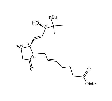 CCCCC(C)(C)[C@H](O)C=C[C@@H]1[C@H](C)CC(=O)[C@@H]1CC=CCCCC(=O)OC